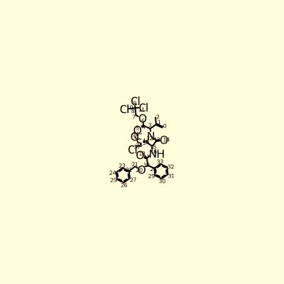 C=C(C)C(C(=O)OCC(Cl)(Cl)Cl)N1C(=O)C(NC(=O)C(OCc2ccccc2)c2ccccc2)C1[S+]([O-])Cl